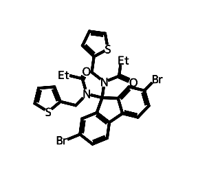 CCC(=O)N(Cc1cccs1)C1(N(Cc2cccs2)C(=O)CC)c2cc(Br)ccc2-c2ccc(Br)cc21